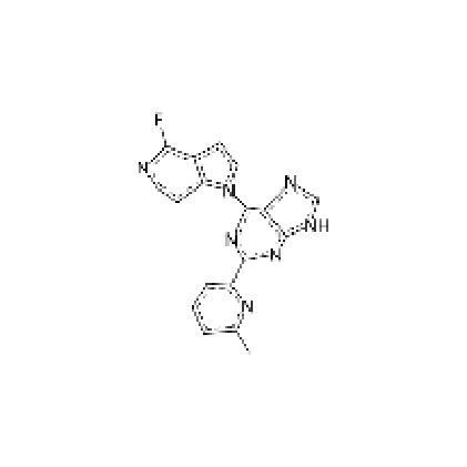 Cc1cccc(-c2nc(-n3ccc4c(F)nccc43)c3nc[nH]c3n2)n1